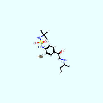 Br.CCC(C)NCC(=O)c1ccc(NS(=O)(=O)NC(C)(C)C)cc1